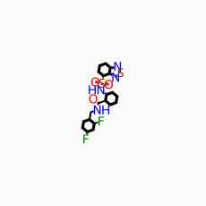 O=C(NCc1ccc(F)cc1F)c1ccccc1NS(=O)(=O)c1cccc2nsnc12